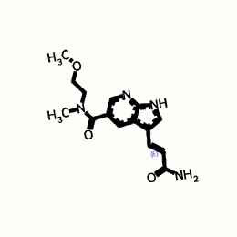 COCCN(C)C(=O)c1cnc2[nH]cc(/C=C/C(N)=O)c2c1